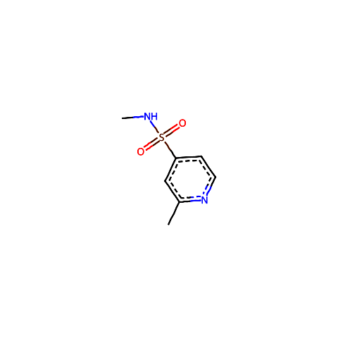 CNS(=O)(=O)c1ccnc(C)c1